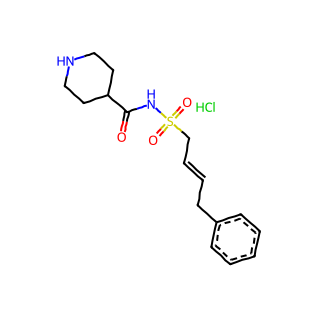 Cl.O=C(NS(=O)(=O)CC=CCc1ccccc1)C1CCNCC1